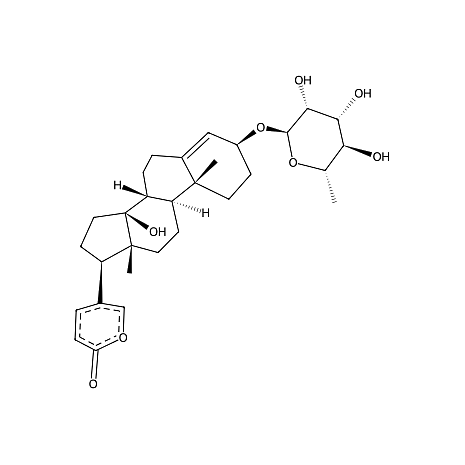 C[C@@H]1O[C@@H](O[C@@H]2C=C3CC[C@@H]4[C@H](CC[C@]5(C)[C@@H](c6ccc(=O)oc6)CC[C@]45O)[C@@]3(C)CC2)[C@H](O)[C@H](O)[C@H]1O